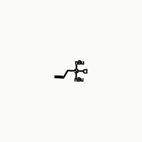 C=CC[Si](Cl)(CCCC)CCCC